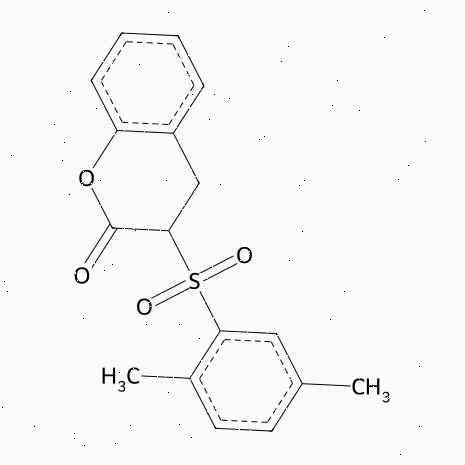 Cc1ccc(C)c(S(=O)(=O)C2Cc3ccccc3OC2=O)c1